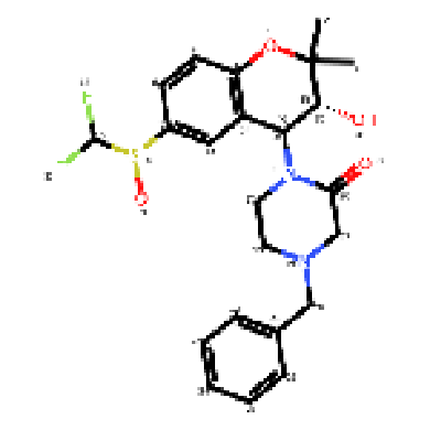 CC1(C)Oc2ccc([S+]([O-])C(F)F)cc2[C@H](N2CCN(Cc3ccccc3)CC2=O)[C@H]1O